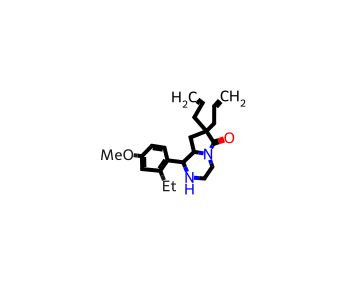 C=CCC1(CC=C)CC2C(c3ccc(OC)cc3CC)NCCN2C1=O